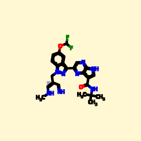 CN/C=C(\C=N)Cn1nc(-c2cnc3[nH]cc(C(=O)NC(C)(C)C)c3n2)c2cc(OC(F)F)ccc21